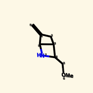 C=C1CC2C(COC)NC12